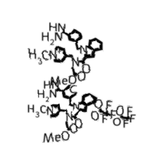 COC(=O)CN(Cc1cc[n+](C)cc1)C(=O)c1cc2ccccc2n1Cc1cccc(C(=N)N)c1.COC(=O)CN(Cc1cc[n+](C)cc1)C(=O)c1cc2ccccc2n1Cc1cccc(C(=N)N)c1.O=C([O-])C(F)(F)F.O=C([O-])C(F)(F)F